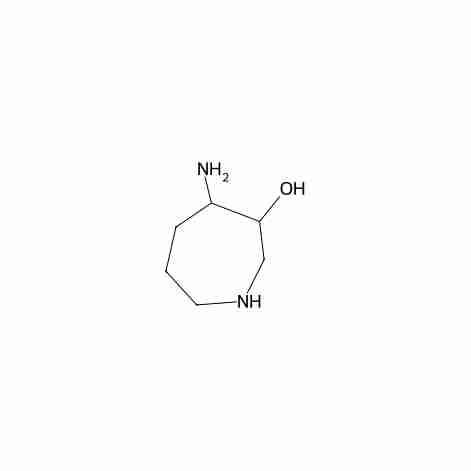 NC1CCCNCC1O